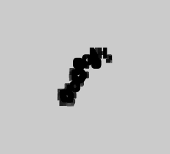 NC(=O)OCC(=O)c1ccc(OCc2ccccc2)cc1